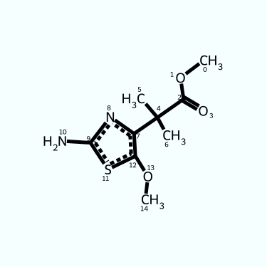 COC(=O)C(C)(C)c1nc(N)sc1OC